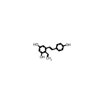 C=Cc1c(O)cc(O)cc1C=Cc1ccc(O)cc1